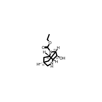 CCOC(=O)N1[C@H]2C[C@H]3CN[C@H]([C@@H]2O)[C@@H]1C3